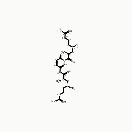 CC(=N)NCC[SH](C)C[C@H](N)C(=O)OC(=O)/C=C\C(=O)OC(=O)[C@@H](N)C[SH](C)CCNC(C)=N